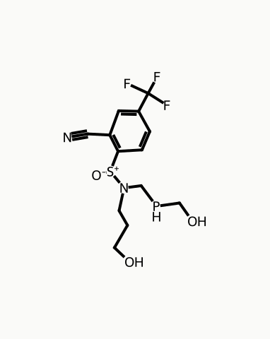 N#Cc1cc(C(F)(F)F)ccc1[S+]([O-])N(CCCO)CPCO